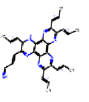 N#C/C=C/c1nc2c3c(c4nc(/C=C/C#N)c(/C=C/C#N)nc4c2nc1/C=C/C#N)NC(/C=C/C#N)C(/C=C/C=N)=N3